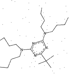 CCCCN(CCCC)c1nc(N(CCCC)CCCC)nc(C(C)(C)C)n1